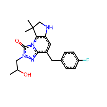 CC(O)Cn1nc2c(Cc3ccc(F)cc3)cc3c(n2c1=O)C(C)(C)CN3